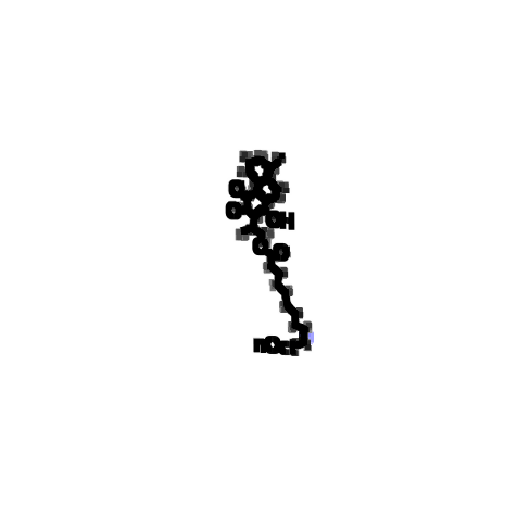 CCCCCCCC/C=C\CCCCCCCC(=O)OCC(C)C1=C(O)c2ccc3c(C)cccc3c2C(=O)C1=O